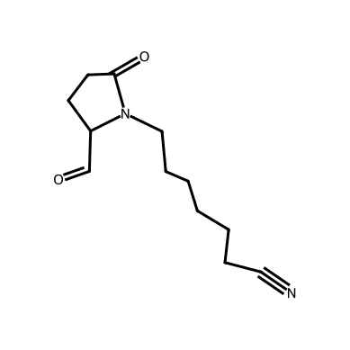 N#CCCCCCCN1C(=O)CCC1C=O